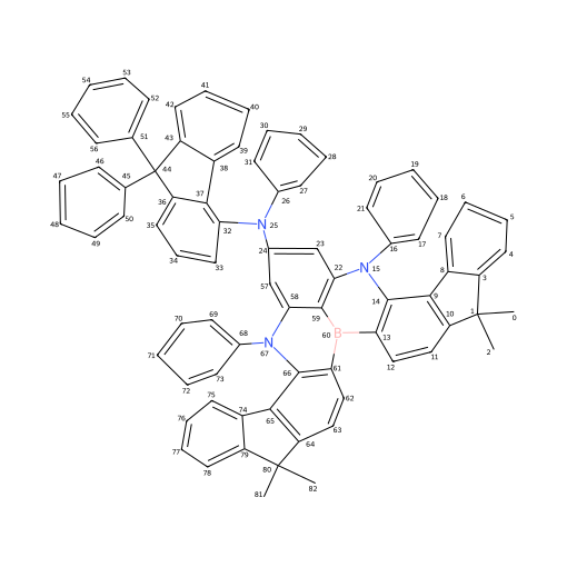 CC1(C)c2ccccc2-c2c1ccc1c2N(c2ccccc2)c2cc(N(c3ccccc3)c3cccc4c3-c3ccccc3C4(c3ccccc3)c3ccccc3)cc3c2B1c1ccc2c(c1N3c1ccccc1)-c1ccccc1C2(C)C